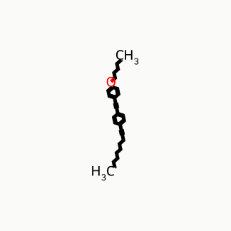 CCCCCCCCC#Cc1ccc(C#Cc2ccc(OCCCCCC)cc2)cc1